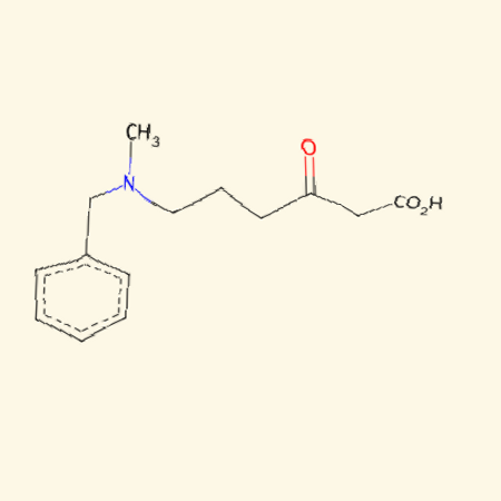 CN(CCCC(=O)CC(=O)O)Cc1ccccc1